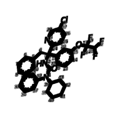 O=C(N[C@@](Cc1ccccc1)(c1cccc(OC(F)(F)C(F)F)c1)c1ccc(Cl)cn1)N(c1ccccc1)C1CCCCC1